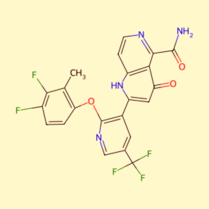 Cc1c(Oc2ncc(C(F)(F)F)cc2-c2cc(=O)c3c(C(N)=O)nccc3[nH]2)ccc(F)c1F